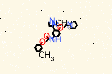 Cc1cccc(OCC(=O)Nc2ccc(OCCN3CCCCC3)c(-c3ccnn3C)c2)c1